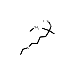 CCOCCCCC(C)(C)O[SiH3].CN